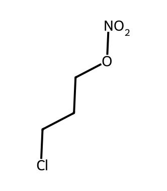 O=[N+]([O-])OCCCCl